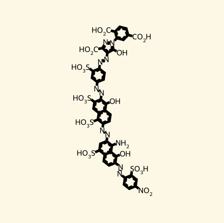 Nc1c(N=Nc2ccc3c(O)c(N=Nc4ccc(N=Nc5c(C(=O)O)nn(-c6cc(C(=O)O)ccc6C(=O)O)c5O)c(S(=O)(=O)O)c4)c(S(=O)(=O)O)cc3c2S(=O)(=O)O)cc(S(=O)(=O)O)c2ccc(N=Nc3ccc([N+](=O)[O-])cc3S(=O)(=O)O)c(O)c12